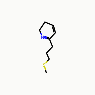 CSCCCC1=NCCC=C1